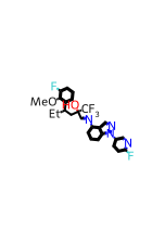 CCC(CC(O)(C=Nc1cccc2c1cnn2-c1ccc(F)nc1)C(F)(F)F)c1cccc(F)c1OC